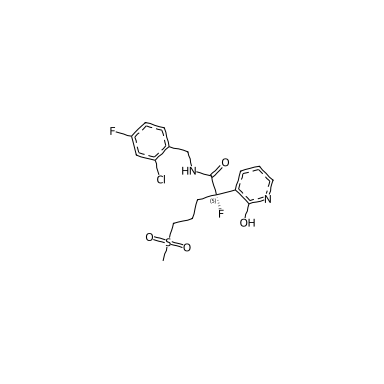 CS(=O)(=O)CCC[C@@](F)(C(=O)NCc1ccc(F)cc1Cl)c1cccnc1O